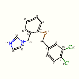 Clc1ccc(CSc2ccccc2Cn2ccnc2)cc1Cl